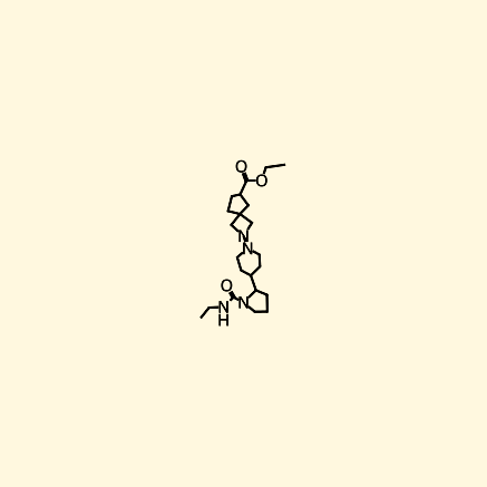 CCNC(=O)N1CCCC1C1CCN(N2CC3(CCC(C(=O)OCC)C3)C2)CC1